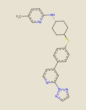 FC(F)(F)c1ccc(N[C@H]2CC[C@H](Sc3ccc(-c4ccnc(-n5nccn5)c4)cc3)CC2)nc1